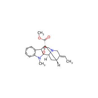 C/C=C1/CN2CC[C@@]34c5ccccc5N(C)[C@]35OC[C@]4(C(=O)OC)[C@H]1C[C@H]25